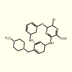 CCC1N=C(C=O)C(NC2C=CC(CN3CCN(C)CC3)=CC2)=NC1OC1=CC=CC([N+](=O)[O-])C1